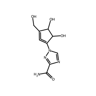 NC(=O)c1ncn(C2=C=C(CO)C(O)C2O)n1